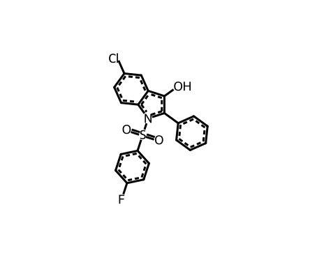 O=S(=O)(c1ccc(F)cc1)n1c(-c2ccccc2)c(O)c2cc(Cl)ccc21